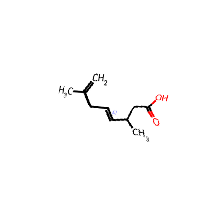 C=C(C)C/C=C/C(C)CC(=O)O